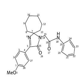 COc1ccc(C2=NC3(CCCCCC3)N(CC(=O)Nc3ccccc3)C2=O)cc1